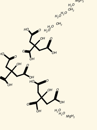 O.O.O.O.O.O.O.O.O.O=C(O)CC(O)(CC(=O)O)C(=O)O.O=C(O)CC(O)(CC(=O)O)C(=O)O.O=C(O)CC(O)(CC(=O)O)C(=O)O.[MgH2].[MgH2]